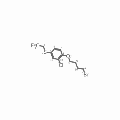 FC(F)(F)CSc1ccc(OCCCCBr)c(Cl)c1